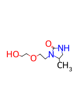 CC1CNC(=O)N1CCOCCO